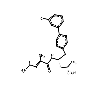 C[C@@H](C[C@@H](Cc1ccc(-c2cccc(Cl)c2)cc1)NC(=O)/C(N)=N/NN)C(=O)O